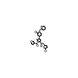 O=C(c1ccoc1)n1nc(-c2ccn(Cc3ccccn3)c(=O)c2)cc1NCc1ccc(Cl)s1